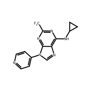 FC(F)(F)c1nc(NC2CC2)c2ncn(-c3ccncc3)c2n1